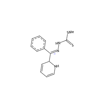 CSC(=S)N/N=C(\c1ccccc1)C1C=CC=CN1